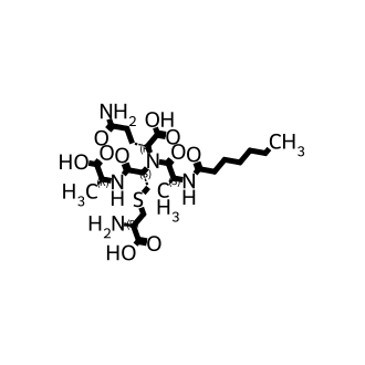 CCCCCCC(=O)N[C@@H](C)C(=O)N([C@H](CCC(N)=O)C(=O)O)[C@H](CSC[C@H](N)C(=O)O)C(=O)N[C@H](C)C(=O)O